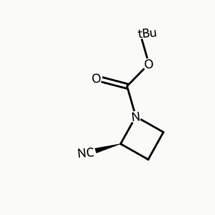 CC(C)(C)OC(=O)N1CC[C@H]1C#N